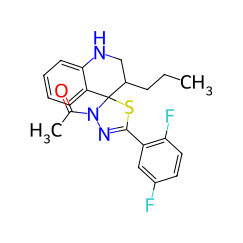 CCCC1CNc2ccccc2C12SC(c1cc(F)ccc1F)=NN2C(C)=O